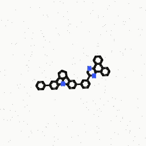 c1ccc(-c2ccc3c(c2)c2cccc4c5cc(-c6cccc(-c7cnc8c9ccccc9c9ccccc9c8n7)c6)ccc5n3c24)cc1